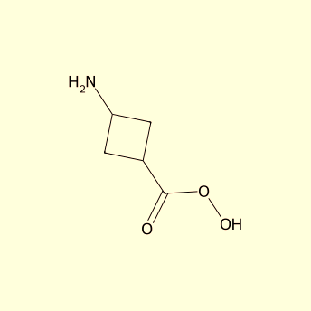 NC1CC(C(=O)OO)C1